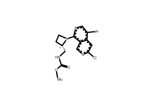 CC(C)c1cnc(N2CC[C@H]2CNC(=O)OC(C)(C)C)c2cnc(Cl)cc12